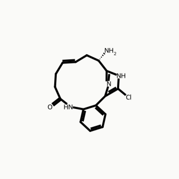 N[C@H]1C/C=C/CCC(=O)Nc2ccccc2-c2nc1[nH]c2Cl